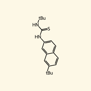 CC(C)(C)NC(=S)Nc1ccc2ccc(C(C)(C)C)cc2c1